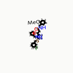 COc1ccccc1CNC(=O)CCc1nnc(SCc2cccc(F)c2)n1CC1CCCO1